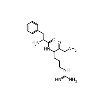 N=C(N)NCCCC(NC(=O)C(N)Cc1ccccc1)C(=O)CN